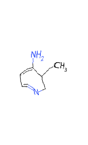 CC1CN=CC=C1N